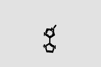 Cn1cnc(C2=NC=C[N]2)c1